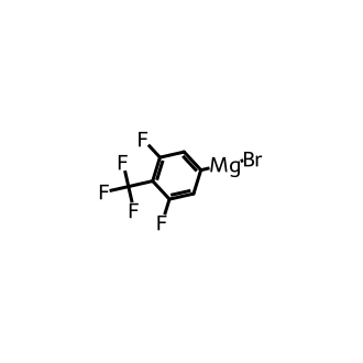 Fc1c[c]([Mg][Br])cc(F)c1C(F)(F)F